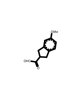 COc1ccc2c(c1)CC(C(=O)C=O)C2